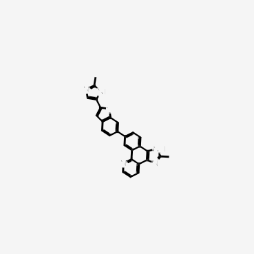 Cc1ncc(-c2cc3ccc(-c4ccc5c(c4)c4ncccc4c4nc(C)[nH]c54)cc3s2)[nH]1